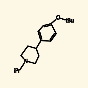 CC(C)N1CCC(c2ccc(OC(C)(C)C)cc2)CC1